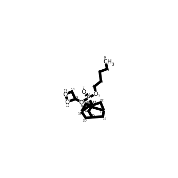 CCCCCOP(=O)(OC1COO1)C12CC3CC(CC(C3)C1)C2